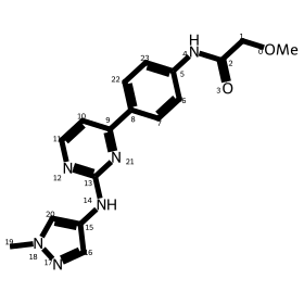 COCC(=O)Nc1ccc(-c2ccnc(Nc3cnn(C)c3)n2)cc1